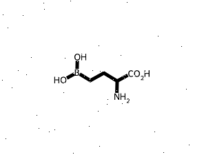 NC(CCB(O)O)C(=O)O